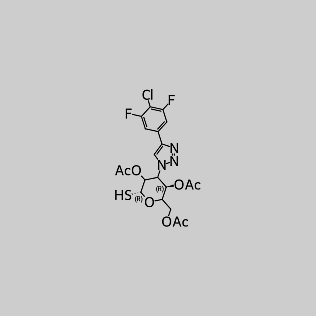 CC(=O)OCC1O[C@H](S)C(OC(C)=O)C(n2cc(-c3cc(F)c(Cl)c(F)c3)nn2)[C@H]1OC(C)=O